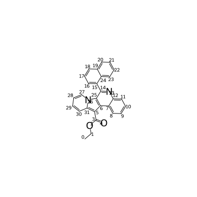 CCOC(=O)c1c2c3ccccc3nc(-c3cccc4ccccc34)c2n2ccccc12